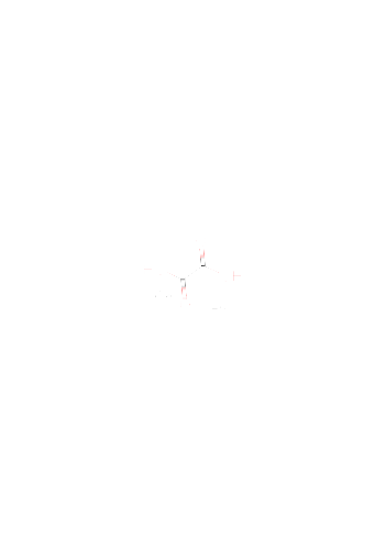 O=C(O)C(=O)O.[Ce].[La]